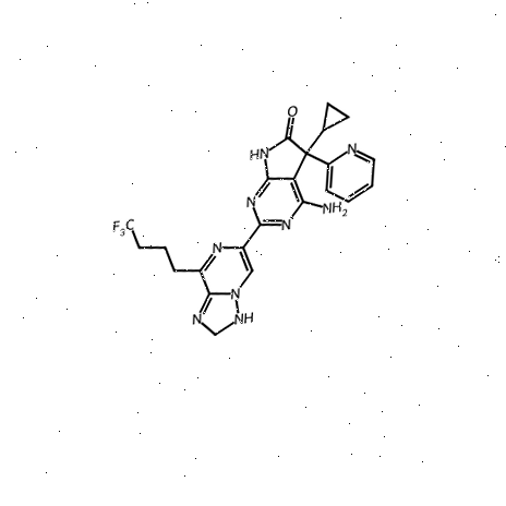 Nc1nc(C2=CN3NCN=C3C(CCCC(F)(F)F)=N2)nc2c1C(c1ccccn1)(C1CC1)C(=O)N2